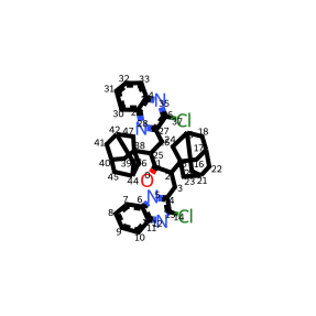 O=C(C(Cc1nc2ccccc2nc1Cl)C12CC3CC(CC(C3)C1)C2)C(Cc1nc2ccccc2nc1Cl)C12CC3CC(CC(C3)C1)C2